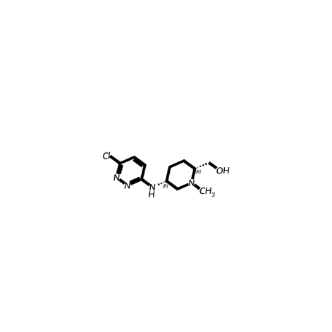 CN1C[C@H](Nc2ccc(Cl)nn2)CC[C@@H]1CO